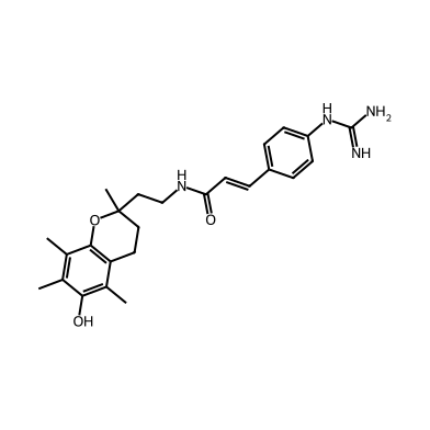 Cc1c(C)c2c(c(C)c1O)CCC(C)(CCNC(=O)C=Cc1ccc(NC(=N)N)cc1)O2